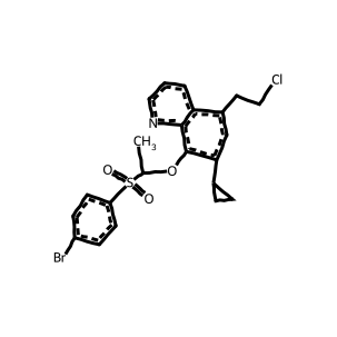 CC(Oc1c(C2CC2)cc(CCCl)c2cccnc12)S(=O)(=O)c1ccc(Br)cc1